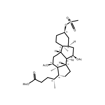 COC(=O)CC[C@@H](C)[C@H]1CC[C@H]2[C@@H]3[C@H](OC(C)=O)C[C@@H]4C[C@H](OS(C)(=O)=O)CC[C@]4(C)[C@H]3C[C@H](OC(C)=O)[C@]12C